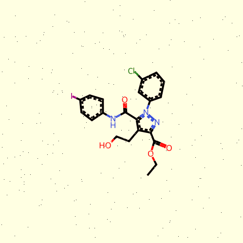 CCOC(=O)c1nn(-c2cccc(Cl)c2)c(C(=O)Nc2ccc(I)cc2)c1CCO